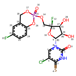 O=c1[nH]c(=S)c(Cl)cn1[C@@H]1O[C@](F)(COP2(=O)OCc3cc(F)ccc3O2)[C@@H](O)[C@H]1O